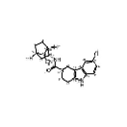 N#CN1[C@H]2CC[C@@H]1[C@H](NC(=O)N1CCc3[nH]c4ccc(Cl)cc4c3C1)C2